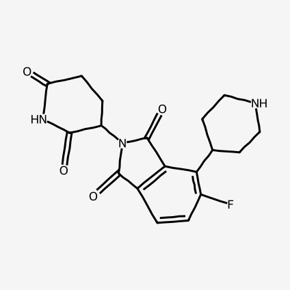 O=C1CCC(N2C(=O)c3ccc(F)c(C4CCNCC4)c3C2=O)C(=O)N1